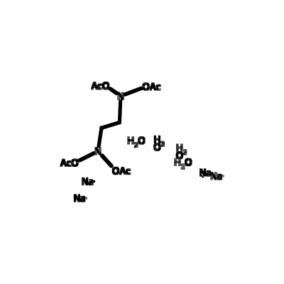 CC(=O)ON(CCN(OC(C)=O)OC(C)=O)OC(C)=O.O.O.O.O.[Na].[Na].[Na].[Na]